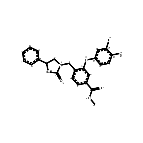 COC(=O)c1ccc(CN2CC(c3ccccc3)NC2=O)c(Oc2ccc(Cl)c(F)c2)c1